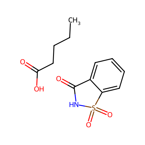 CCCCC(=O)O.O=C1NS(=O)(=O)c2ccccc21